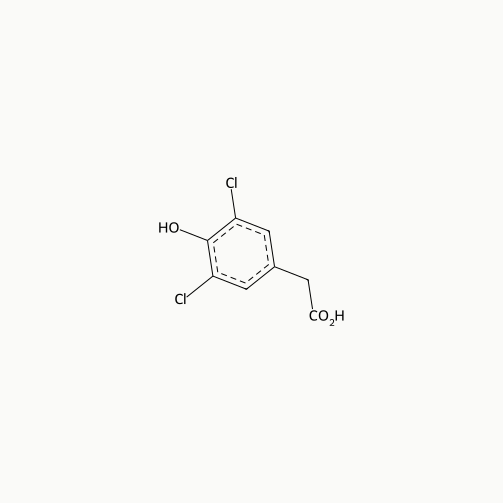 O=C(O)Cc1cc(Cl)c(O)c(Cl)c1